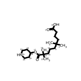 CC(C)(CCCC(=O)O)CCCC(C)(C)C(=O)OC1CCNCC1